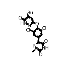 CCC(C)c1cc(Oc2c(Cl)cc(-c3nn(C)c(=O)[nH]c3=O)cc2Cl)n[nH]c1=O